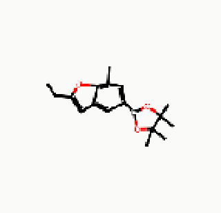 CCc1cc2cc(B3OC(C)(C)C(C)(C)O3)cc(C)c2o1